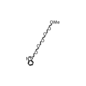 COCCOCCOCCOCCOCCOCCn1cnc2ccccc21